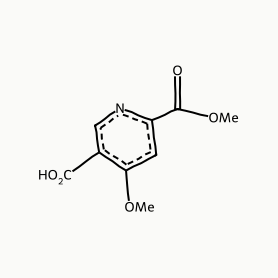 COC(=O)c1cc(OC)c(C(=O)O)cn1